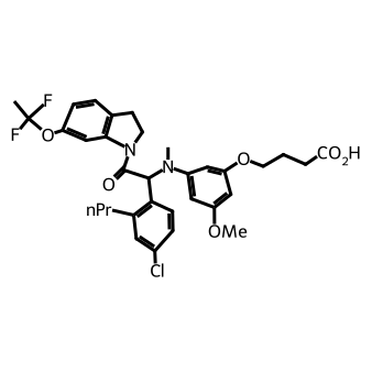 CCCc1cc(Cl)ccc1C(C(=O)N1CCc2ccc(OC(C)(F)F)cc21)N(C)c1cc(OC)cc(OCCCC(=O)O)c1